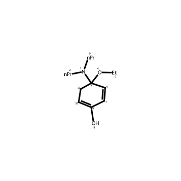 CCCN(CCC)C1(OCC)C=CC(O)=CC1